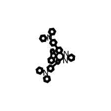 c1ccc(N(c2ccccc2)c2ccc(-c3ccc4c(c3)C3(c5ccccc5-c5ccccc53)c3cc(-c5ccc(N(c6ccccc6)c6ccccc6)cc5)ccc3-c3nc5ccccc5nc3-4)cc2)cc1